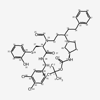 CC(C)(C)OC(=O)N[C@@H]1CCN(C(CCc2ccccc2)CCN(C=O)[C@H](CSc2ccccc2O)C(=O)NCc2ccc(Cl)c(Cl)c2)C1